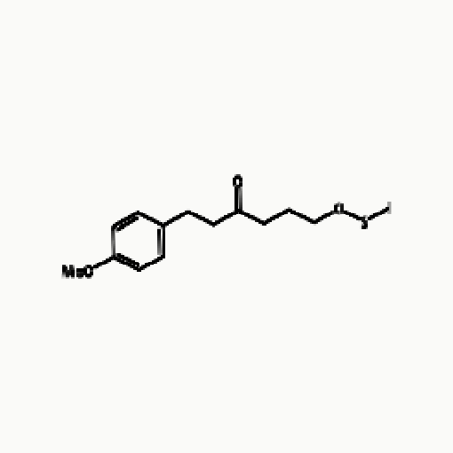 COc1ccc(CCC(=O)CCCOSI)cc1